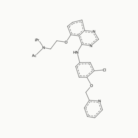 CC(=O)N(CCOc1cccc2ncnc(Nc3ccc(OCc4ccccn4)c(Cl)c3)c12)C(C)C